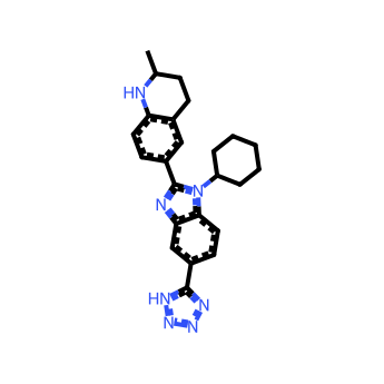 CC1CCc2cc(-c3nc4cc(-c5nnn[nH]5)ccc4n3C3CCCCC3)ccc2N1